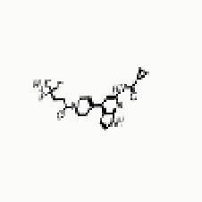 CC(F)(F)CCC(=O)N1CC=C(c2cc(NC(=O)C3CC3)nc3[nH]ccc23)CC1